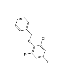 Fc1cc(F)c(OCc2ccccc2)c(Cl)c1